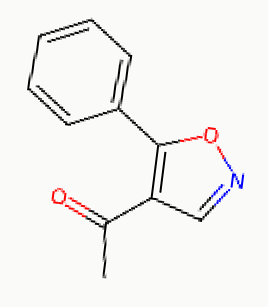 CC(=O)c1cnoc1-c1ccccc1